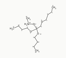 CCCCOCC(OCCCC)(OCCCC)O[SiH2]C